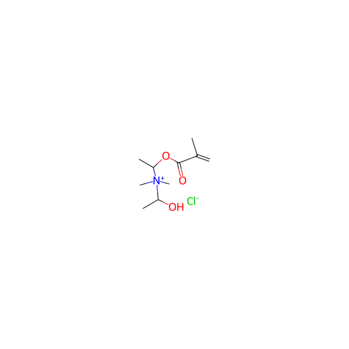 C=C(C)C(=O)OC(C)[N+](C)(C)C(C)O.[Cl-]